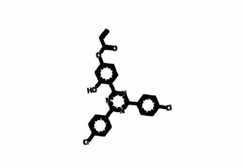 C=CC(=O)Oc1ccc(-c2nc(-c3ccc(Cl)cc3)nc(-c3ccc(Cl)cc3)n2)c(O)c1